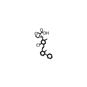 Cc1cc(/C=C/c2cccc(-c3ccccc3)c2C)c(Cl)cc1CN1CCOCC1C(=O)O